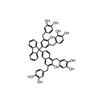 Oc1ccc(Cc2cc(C3(c4ccc5c(Cc6ccc(O)c(O)c6)c(O)c(Cc6ccc(O)c(O)c6)cc5c4)c4ccccc4-c4ccccc43)cc(Cc3ccc(O)c(O)c3)c2O)cc1O